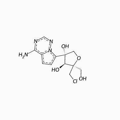 Nc1ncnn2c([C@@]3(O)CO[C@@](CO)(CCl)[C@H]3O)ccc12